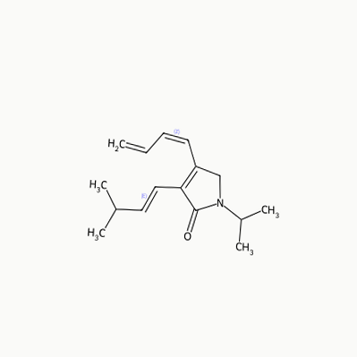 C=C/C=C\C1=C(/C=C/C(C)C)C(=O)N(C(C)C)C1